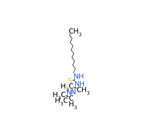 CCCCCCCCCCCCNC(=S)NC(C)(C)/N=N/C(C)(C)C